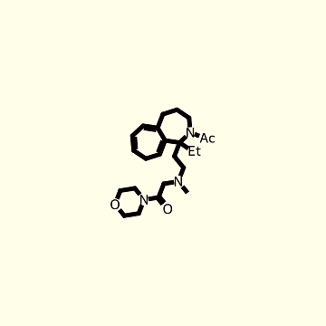 CCC1(CCN(C)CC(=O)N2CCOCC2)C2=CCC=CC=C2CCCN1C(C)=O